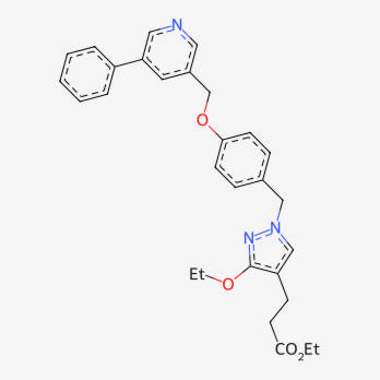 CCOC(=O)CCc1cn(Cc2ccc(OCc3cncc(-c4ccccc4)c3)cc2)nc1OCC